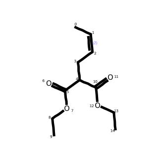 C/C=C\CC(C(=O)OCC)C(=O)OCC